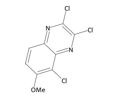 COc1ccc2nc(Cl)c(Cl)nc2c1Cl